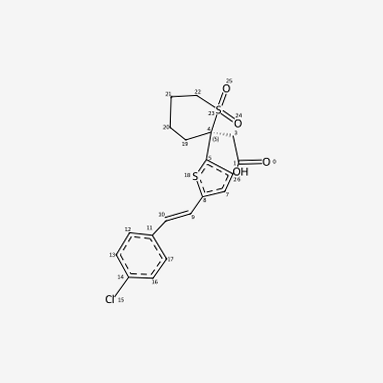 O=C(O)C[C@]1(c2ccc(C=Cc3ccc(Cl)cc3)s2)CCCCS1(=O)=O